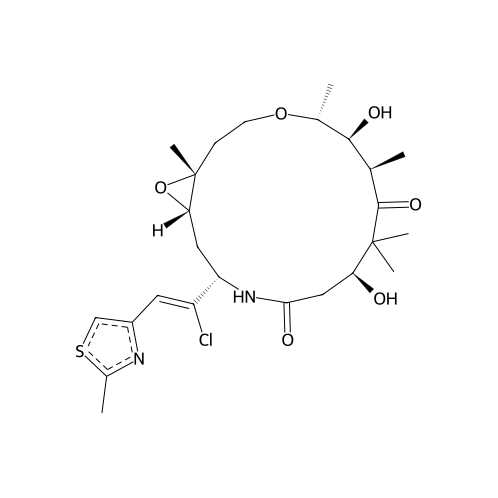 Cc1nc(C=C(Cl)[C@@H]2C[C@@H]3O[C@]3(C)CCO[C@H](C)[C@@H](O)[C@@H](C)C(=O)C(C)(C)[C@@H](O)CC(=O)N2)cs1